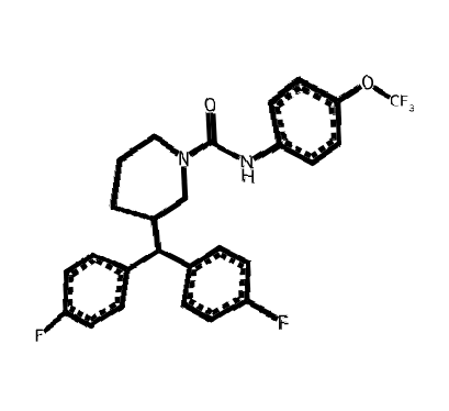 O=C(Nc1ccc(OC(F)(F)F)cc1)N1CCCC(C(c2ccc(F)cc2)c2ccc(F)cc2)C1